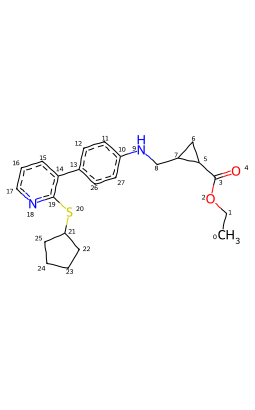 CCOC(=O)C1CC1CNc1ccc(-c2cccnc2SC2CCCC2)cc1